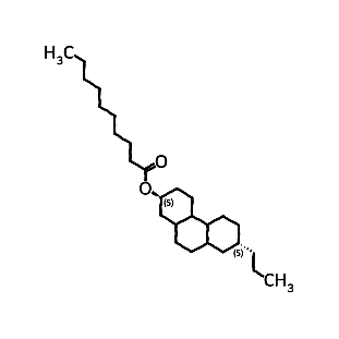 CCCCCCCCCC(=O)O[C@H]1CCC2C(CCC3C[C@@H](CCC)CCC32)C1